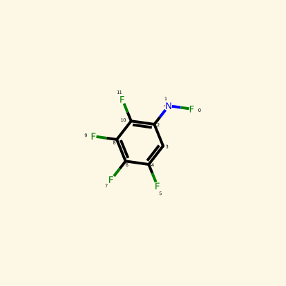 F[N]c1cc(F)c(F)c(F)c1F